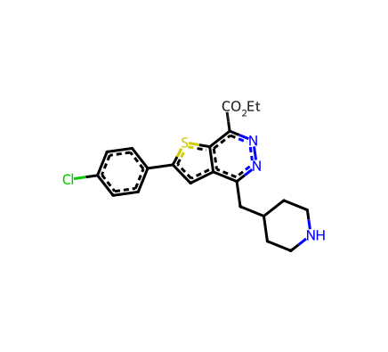 CCOC(=O)c1nnc(CC2CCNCC2)c2cc(-c3ccc(Cl)cc3)sc12